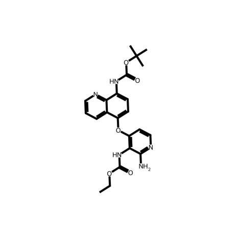 CCOC(=O)Nc1c(Oc2ccc(NC(=O)OC(C)(C)C)c3ncccc23)ccnc1N